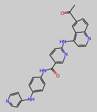 CC(=O)c1ccc2nccc(Nc3ccc(C(=O)Nc4ccc(Nc5ccncc5)cc4)cn3)c2c1